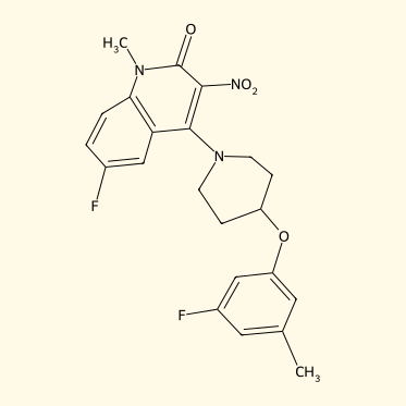 Cc1cc(F)cc(OC2CCN(c3c([N+](=O)[O-])c(=O)n(C)c4ccc(F)cc34)CC2)c1